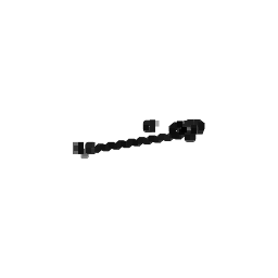 CCCCCCCCCCCCCCCCc1cc[n+](CN2CCCC2=O)cc1.[Cl-]